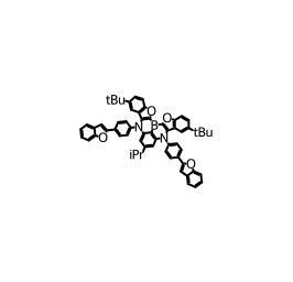 CC(C)c1cc2c3c(c1)N(c1ccc(-c4cc5ccccc5o4)cc1)c1c(oc4ccc(C(C)(C)C)cc14)B3c1oc3ccc(C(C)(C)C)cc3c1N2c1ccc(-c2cc3ccccc3o2)cc1